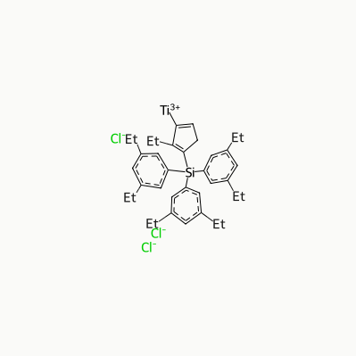 CCC1=C([Si](c2cc(CC)cc(CC)c2)(c2cc(CC)cc(CC)c2)c2cc(CC)cc(CC)c2)CC=[C]1[Ti+3].[Cl-].[Cl-].[Cl-]